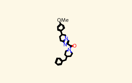 COc1ccc(C2CCc3nc(C(=O)N4CCC(Cc5ccccc5)CC4)cn3C2)cc1